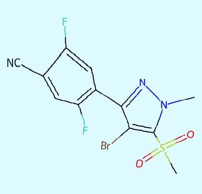 Cn1nc(-c2cc(F)c(C#N)cc2F)c(Br)c1S(C)(=O)=O